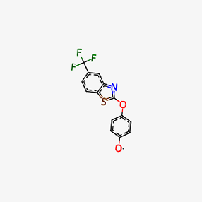 [O]c1ccc(Oc2nc3cc(C(F)(F)F)ccc3s2)cc1